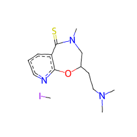 CI.CN(C)CCC1CN(C)C(=S)c2cccnc2O1